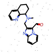 CN(Cc1nc2ccccn2c1C=O)C1CCCc2cccnc21